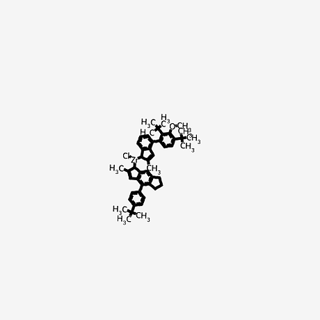 COc1c(C(C)(C)C)ccc(-c2cccc3c2C=C(C)[CH]3[Zr]([Cl])[CH]2C(C)=Cc3c2cc2c(c3-c3ccc(C(C)(C)C)cc3)CCC2)c1C(C)(C)C